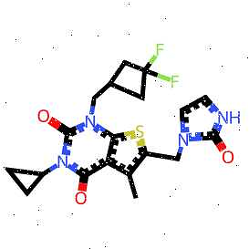 Cc1c(Cn2cc[nH]c2=O)sc2c1c(=O)n(C1CC1)c(=O)n2CC1CC(F)(F)C1